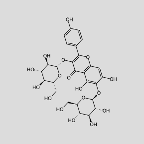 O=c1c(O[C@@H]2O[C@H](CO)[C@@H](O)[C@H](O)[C@H]2O)c(-c2ccc(O)cc2)oc2cc(O)c(O[C@@H]3O[C@H](CO)[C@@H](O)[C@H](O)[C@H]3O)c(O)c12